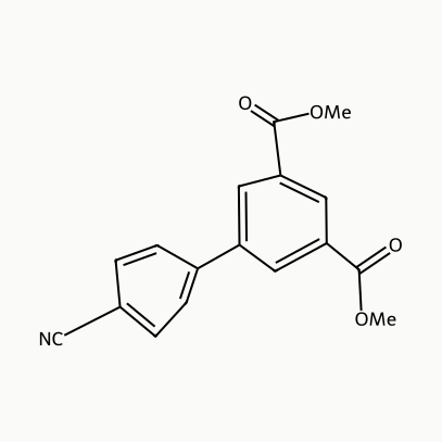 COC(=O)c1cc(C(=O)OC)cc(-c2ccc(C#N)cc2)c1